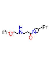 CC(C)OCCNCCC(=O)N1CC(C(C)C)C1